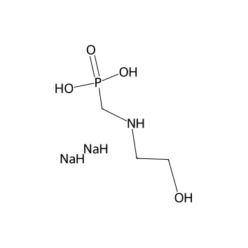 O=P(O)(O)CNCCO.[NaH].[NaH]